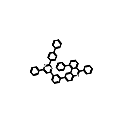 c1ccc(-c2ccc(-c3nc(-c4ccccc4)cc(-c4cccc(-c5ccc6nc(-c7ccccc7)c7cccc(-c8ccccc8)c7c6c5)c4)n3)cc2)cc1